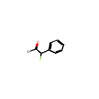 CCC(=O)C(F)c1ccccc1